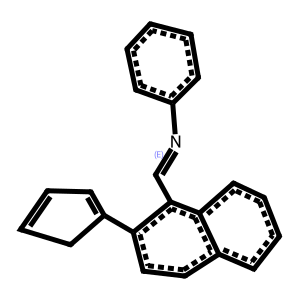 C1=CCC(c2ccc3ccccc3c2/C=N/c2ccccc2)=C1